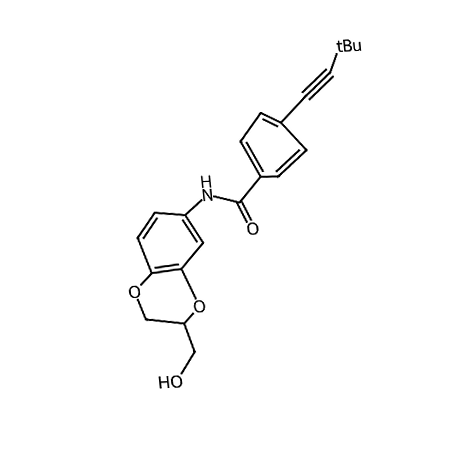 CC(C)(C)C#Cc1ccc(C(=O)Nc2ccc3c(c2)OC(CO)CO3)cc1